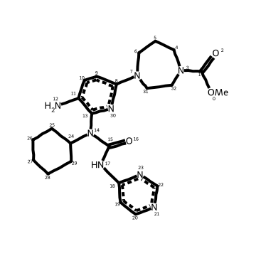 COC(=O)N1CCCN(c2ccc(N)c(N(C(=O)Nc3ccncn3)C3CCCCC3)n2)CC1